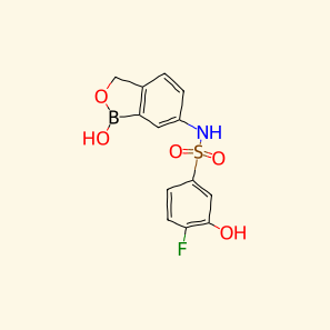 O=S(=O)(Nc1ccc2c(c1)B(O)OC2)c1ccc(F)c(O)c1